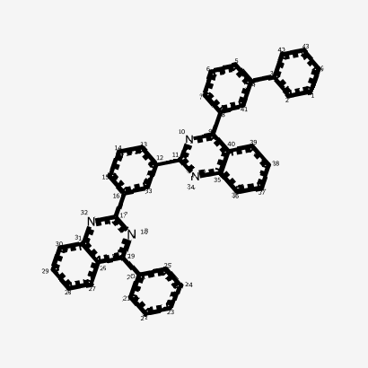 c1ccc(-c2cccc(-c3nc(-c4cccc(-c5nc(-c6ccccc6)c6ccccc6n5)c4)nc4ccccc34)c2)cc1